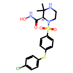 CC1(C)NCCN(S(=O)(=O)c2ccc(Sc3ccc(Cl)cc3)cc2)[C@H]1C(=O)NO